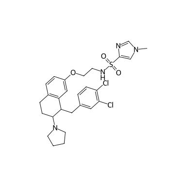 Cn1cnc(S(=O)(=O)NCCOc2ccc3c(c2)C(Cc2ccc(Cl)c(Cl)c2)C(N2CCCC2)CC3)c1